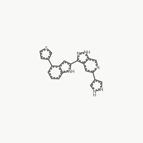 c1cc(-c2ccsc2)c2cc(-c3n[nH]c4cnc(-c5cn[nH]c5)cc34)[nH]c2c1